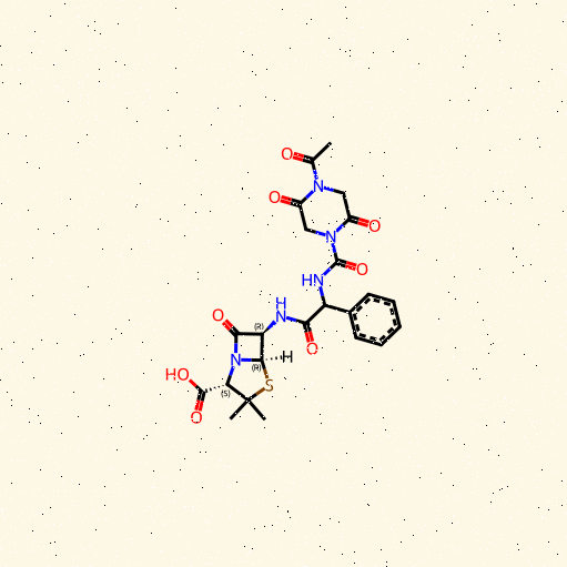 CC(=O)N1CC(=O)N(C(=O)NC(C(=O)N[C@@H]2C(=O)N3[C@@H]2SC(C)(C)[C@@H]3C(=O)O)c2ccccc2)CC1=O